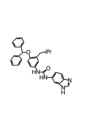 CC(C)Cc1cc(NC(=O)Nc2ccc3nc[nH]c3c2)ccc1OC(c1ccccc1)c1ccccc1